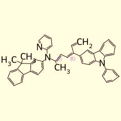 C=C/C(=C\C=C(/C)N(c1ccc2c(c1)C(C)(C)c1ccccc1-2)c1ccccn1)c1ccc2c(c1)c1ccccc1n2-c1ccccc1